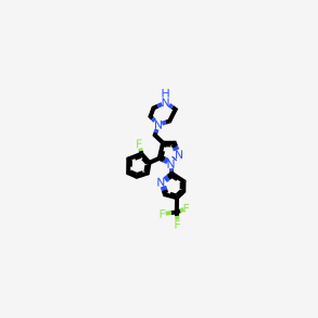 Fc1ccccc1-c1c(CN2CCNCC2)cnn1-c1ccc(C(F)(F)F)cn1